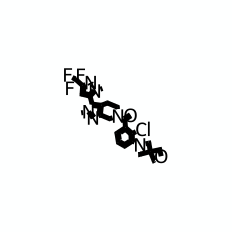 Cn1nc(C(F)(F)F)cc1-c1c2c(nn1C)CN(C(=O)c1cccc(N3CC4(COC4)C3)c1Cl)CC2